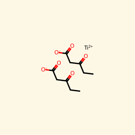 CCC(=O)CC(=O)[O-].CCC(=O)CC(=O)[O-].[Ti+2]